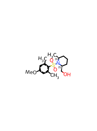 COc1cc(C)c(S(=O)(=O)N2[C@H](CO)CCC[C@@H]2C)c(C)c1